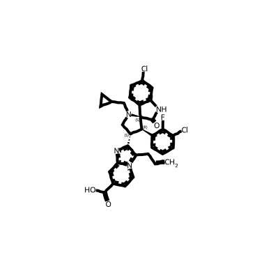 C=CCc1c([C@@H]2CN(CC3CC3)[C@@]3(C(=O)Nc4cc(Cl)ccc43)[C@H]2c2cccc(Cl)c2F)nc2cc(C(=O)O)ccn12